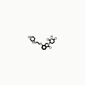 O=C1CCC(N2Cc3c(SCCNC4CCNCC4)cccc3C2=O)C(=O)N1